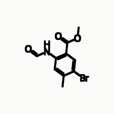 COC(=O)c1cc(Br)c(C)cc1NC=O